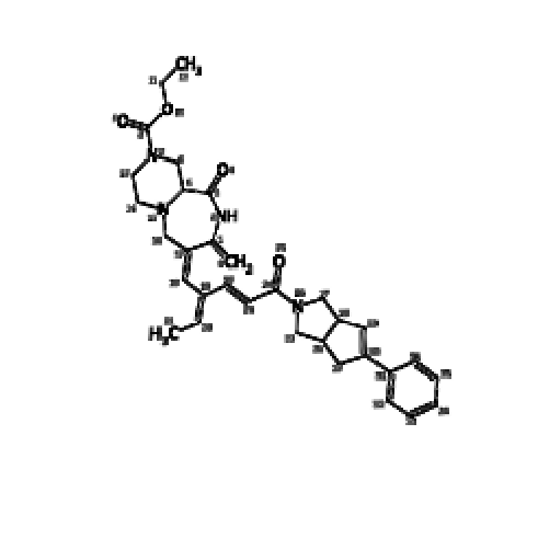 C=C1NC(=O)C2CN(C(=O)OCC)CCN2C/C1=C/C(=C\C)/C=C/C(=O)N1CC2C=C(c3ccccc3)CC2C1